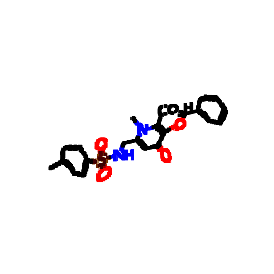 Cc1ccc(S(=O)(=O)NCc2cc(=O)c(OCc3ccccc3)c(C(=O)O)n2C)cc1